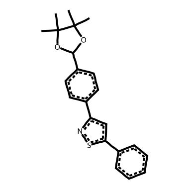 CC1(C)OC(c2ccc(-c3cc(-c4ccccc4)sn3)cc2)OC1(C)C